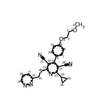 COCCOc1ccc(-c2c(C#N)c(SCc3cccnn3)nc(C3CC3)c2C#N)cc1